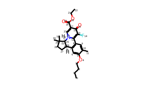 CCCCOc1cc2c(cc1C)-c1c(F)c(=O)c(C(=O)OCC)cn1[C@H]1[C@@H]2CCC1(C)C